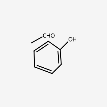 CC=O.Oc1ccccc1